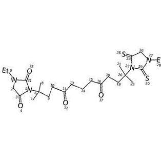 CCN1CC(=O)N(C(C)(C)CCC(=O)CCCC(=O)CCC(C)(C)N2C(=S)CN(CC)C2=S)C1=O